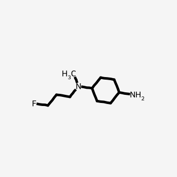 CN(CCCF)C1CCC(N)CC1